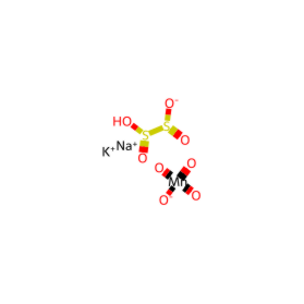 O=S([O-])S(=O)O.[K+].[Na+].[O]=[Mn](=[O])(=[O])[O-]